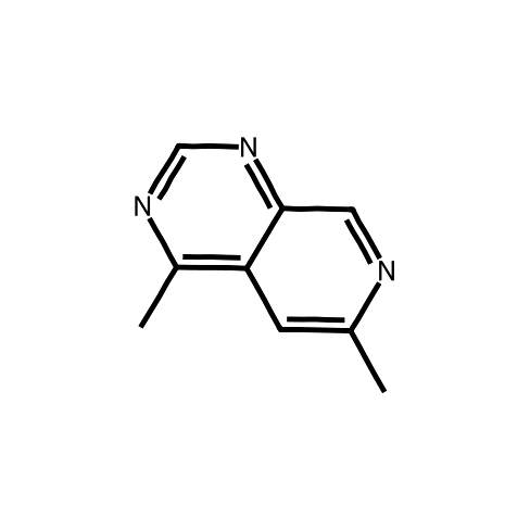 Cc1cc2c(C)ncnc2cn1